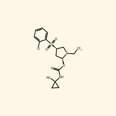 N#CC1(NC(=O)O[C@H]2C[C@@H](S(=O)(=O)c3ccccc3Cl)CN2CC(F)(F)F)CC1